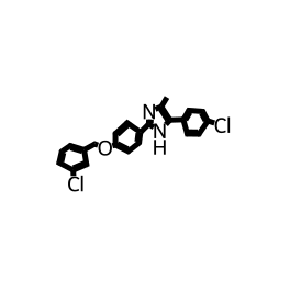 Cc1nc(-c2ccc(OCc3cccc(Cl)c3)cc2)[nH]c1-c1ccc(Cl)cc1